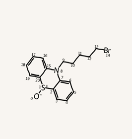 [O-][S+]1c2ccccc2N(CCCCCBr)c2ccccc21